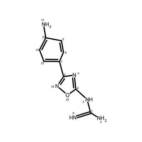 N=C(N)Nc1nc(-c2ccc(N)cc2)no1